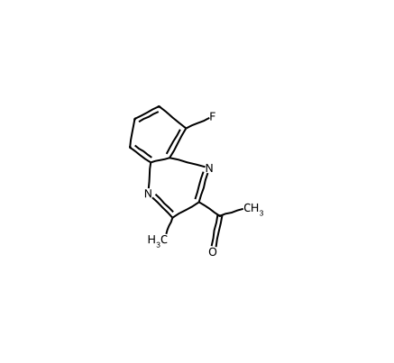 CC(=O)c1nc2c(F)cccc2nc1C